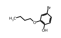 CCCCOc1cc(Br)ccc1O